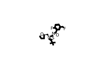 CC(C)(C)c1cn(C[C@H]2CCCO2)/c(=N/C(=O)c2cc(CF)ccc2F)s1